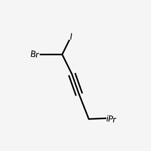 CC(C)CC#CC(Br)I